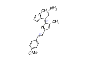 COc1ccc(/C=C/C2=NC(=C(/CCN)c3cccn3C)/C(C)=C2)cc1